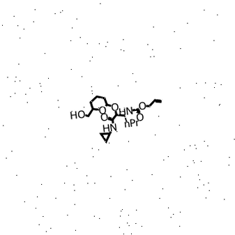 C=CCOC(=O)N[C@@H](CCC)C(OC1CCCC(CO)O1)C(=O)NC1CC1